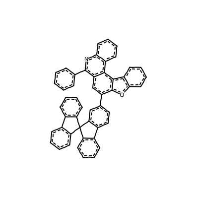 c1ccc(-c2nc3ccccc3c3c2cc(-c2ccc4c(c2)C2(c5ccccc5-c5ccccc52)c2ccccc2-4)c2oc4ccccc4c23)cc1